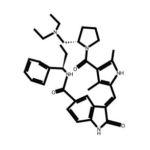 CC[C@@H](NC(=O)c1ccc2c(c1)C(=Cc1[nH]c(C)c(C(=O)N3CCC[C@H]3CN(CC)CC)c1C)C(=O)N2)c1ccccc1